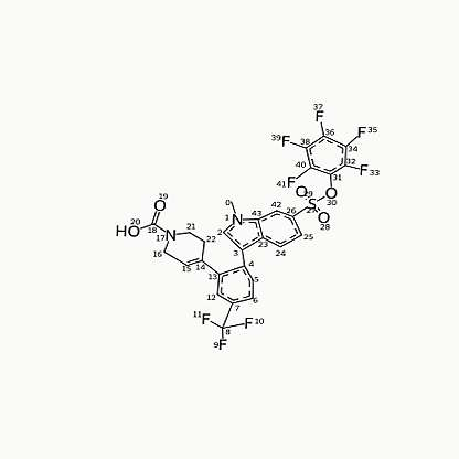 Cn1cc(-c2ccc(C(F)(F)F)cc2C2=CCN(C(=O)O)CC2)c2ccc(S(=O)(=O)Oc3c(F)c(F)c(F)c(F)c3F)cc21